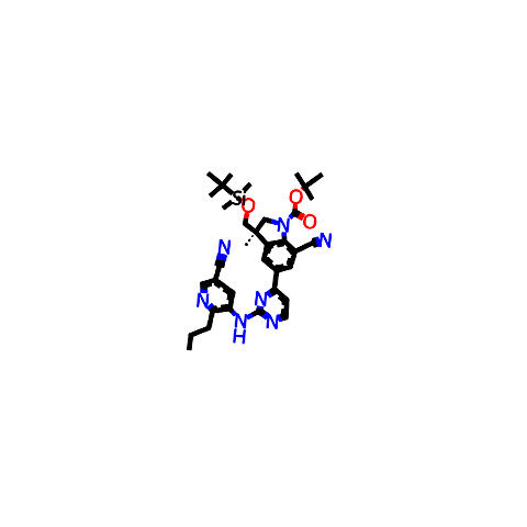 CCCc1ncc(C#N)cc1Nc1nccc(-c2cc(C#N)c3c(c2)[C@@](C)(CO[Si](C)(C)C(C)(C)C)CN3C(=O)OC(C)(C)C)n1